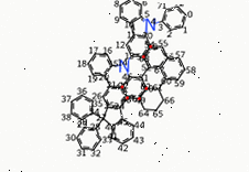 c1ccc(-n2c3ccccc3c3cc(N(c4ccccc4-c4ccc5c(c4)C(c4ccccc4)(c4ccccc4)c4ccccc4-5)c4ccccc4-c4cccc5cccc(C6CCCCC6)c45)ccc32)cc1